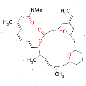 C/C=C1\CC2CC(=O)OC(/C=C/C=C\C=C(/C)CC(=O)NC)C(C)/C=C/C(C)CC3CCCC(CC(C1)O2)O3